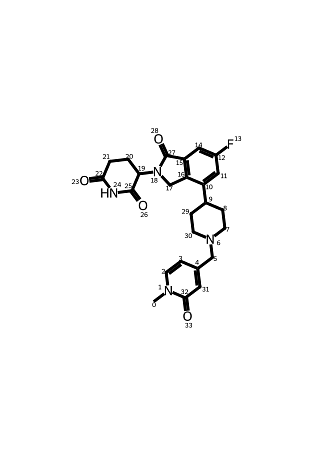 Cn1ccc(CN2CCC(c3cc(F)cc4c3CN(C3CCC(=O)NC3=O)C4=O)CC2)cc1=O